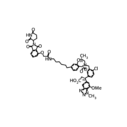 COc1cc([C@@H](CC(=O)O)c2ccc(Cl)c(CN3C[C@@H](C)Oc4cc(CCCCCCNC(=O)COc5cccc6c5C(=O)N(C5CCC(=O)NC5=O)C6=O)ccc4S3(=O)=O)c2)cc2nnn(C)c12